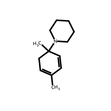 CC1=CCC(C)(N2CCCCC2)C=C1